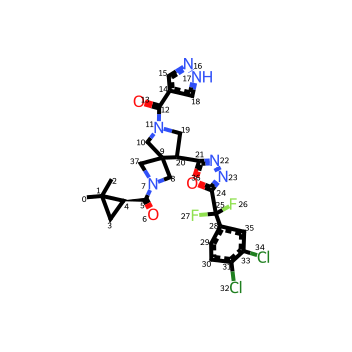 CC1(C)C[C@@H]1C(=O)N1CC2(CN(C(=O)c3cn[nH]c3)CC2c2nnc(C(F)(F)c3ccc(Cl)c(Cl)c3)o2)C1